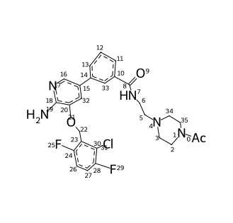 CC(=O)N1CCN(CCNC(=O)c2cccc(-c3cnc(N)c(OCc4c(F)ccc(F)c4Cl)c3)c2)CC1